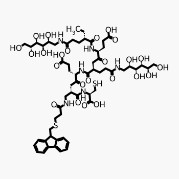 CC[C@@H](CCC(=O)NC[C@H](O)[C@@H](O)[C@H](O)[C@H](O)CO)C(=O)N[C@@H](CCC(=O)O)C(=O)C[C@@H](CCC(=O)NC[C@H](O)[C@@H](O)[C@H](O)[C@H](O)CO)C(=O)N[C@@H](CCC(=O)O)C(=O)C[C@@H](CNC(=O)CCSCC1c2ccccc2-c2ccccc21)C(=O)N[C@@H](CS)C(=O)O